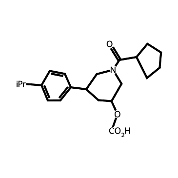 CC(C)c1ccc(C2CC(OC(=O)O)CN(C(=O)C3CCCC3)C2)cc1